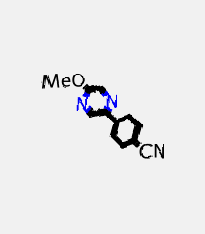 COc1cnc(C2=CCC(C#N)CC2)cn1